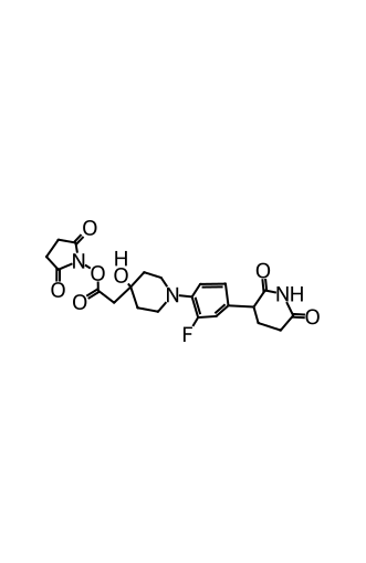 O=C1CCC(c2ccc(N3CCC(O)(CC(=O)ON4C(=O)CCC4=O)CC3)c(F)c2)C(=O)N1